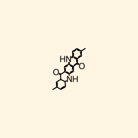 CC1=CC2C(=O)c3cc4[nH]c5ccc(C)cc5c(=O)c4cc3NC2C=C1